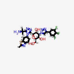 Cc1nc2ccc(-n3c([C@@H]4O[C@H](CO)[C@H](O)[C@H](n5cc(-c6cc(F)c(F)c(F)c6)nn5)[C@H]4O)nnc3C(C)(C)N)cc2s1